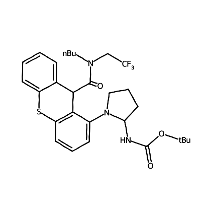 CCCCN(CC(F)(F)F)C(=O)C1c2ccccc2Sc2cccc(N3CCCC3NC(=O)OC(C)(C)C)c21